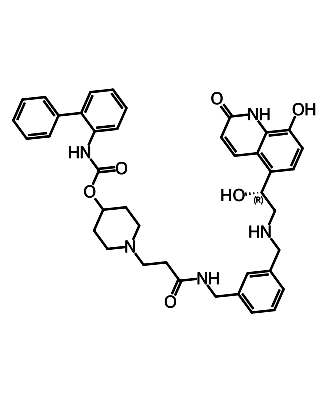 O=C(CCN1CCC(OC(=O)Nc2ccccc2-c2ccccc2)CC1)NCc1cccc(CNC[C@H](O)c2ccc(O)c3[nH]c(=O)ccc23)c1